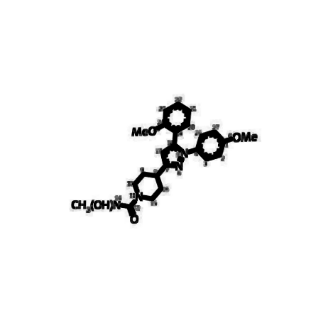 COc1ccc(-n2nc(C3CCN(C(=O)N(C)O)CC3)cc2-c2ccccc2OC)cc1